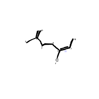 C=C(C)CC/C(Cl)=C\C